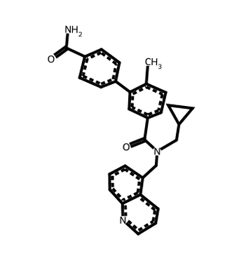 Cc1ccc(C(=O)N(Cc2cccc3ncccc23)CC2CC2)cc1-c1ccc(C(N)=O)cc1